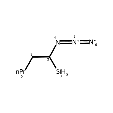 CCCCC([SiH3])N=[N+]=[N-]